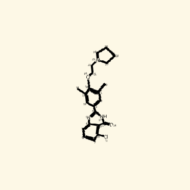 Cc1cc(-c2nc3cccc(Cl)c3c(=O)[nH]2)cc(C)c1OCCN1CCCC1